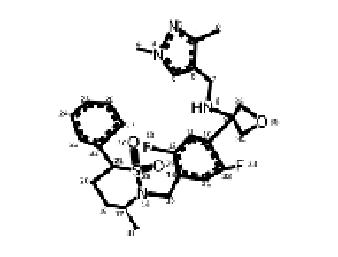 Cc1nn(C)cc1CNC1(c2cc(F)c(CN3[C@@H](C)CCC(c4ccccc4)S3(=O)=O)cc2F)COC1